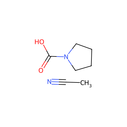 CC#N.O=C(O)N1CCCC1